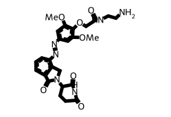 COc1cc(/N=N/c2cccc3c2CN(C2CCC(=O)NC2=O)C3=O)cc(OC)c1OCC(=O)NCCN